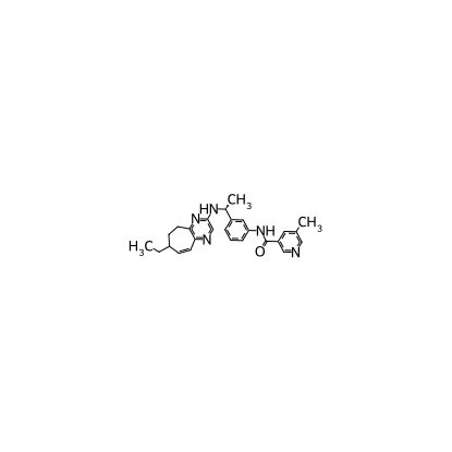 CCC1C=Cc2ncc(N[C@@H](C)c3cccc(NC(=O)c4cncc(C)c4)c3)nc2CC1